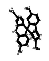 CCCCc1ccc2c(c1)C1(c3ccc(O)cc3Oc3cc(O)ccc31)c1cc(CCCC)ccc1-2